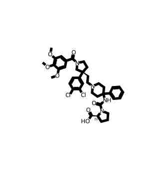 COc1cc(C(=O)N2CC[C@](CCN3CCC(NC(=O)N4CCC[C@H]4C(=O)O)(c4ccccc4)CC3)(c3ccc(Cl)c(Cl)c3)C2)cc(OC)c1OC